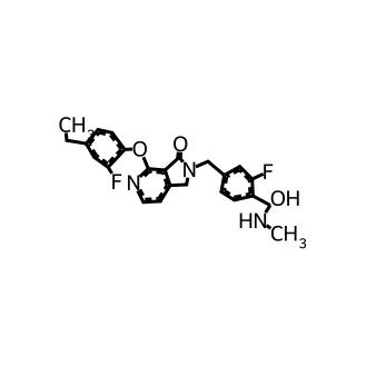 CCc1ccc(Oc2nccc3c2C(=O)N(Cc2ccc(C(O)NC)c(F)c2)C3)c(F)c1